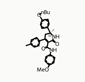 CCCCOc1ccc([C@]2(C)CC(c3ccc(C)cc3)=C(C(=O)Nc3ccc(OC)cc3)C(=O)N2)cc1